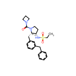 CCS(=O)(=O)N[C@H]1CCN(C(=O)N2CCC2)[C@H]1Cc1cccc(Cc2ccccc2)c1